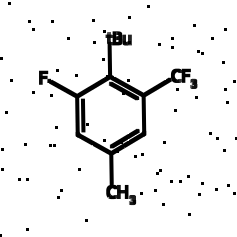 Cc1cc(F)c(C(C)(C)C)c(C(F)(F)F)c1